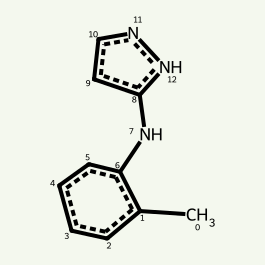 Cc1ccccc1Nc1ccn[nH]1